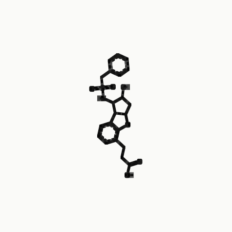 O=C(O)CCc1cccc2c1OC1CC(O)C(NS(=O)(=O)Cc3ccccc3)C21